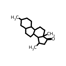 CC1CCC2C(CCC3C2CCC2(C)C(=O)CC(C)C32)C1